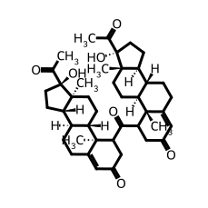 CC(=O)[C@@]1(O)CC[C@H]2[C@@H]3CCC4=CC(=O)CC(C(=O)C5CC(=O)C=C6CC[C@H]7[C@@H]8CC[C@](O)(C(C)=O)[C@@]8(C)CC[C@@H]7[C@]65C)[C@]4(C)[C@H]3CC[C@@]21C